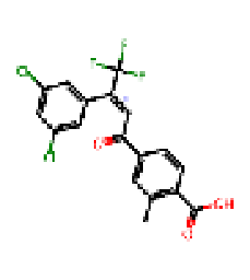 Cc1cc(C(=O)/C=C(\c2cc(Cl)cc(Cl)c2)C(F)(F)F)ccc1C(=O)O